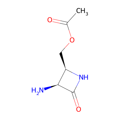 CC(=O)OC[C@H]1NC(=O)[C@H]1N